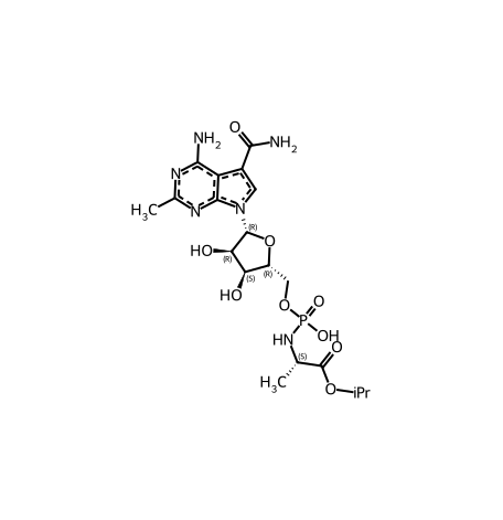 Cc1nc(N)c2c(C(N)=O)cn([C@@H]3O[C@H](COP(=O)(O)N[C@@H](C)C(=O)OC(C)C)[C@@H](O)[C@H]3O)c2n1